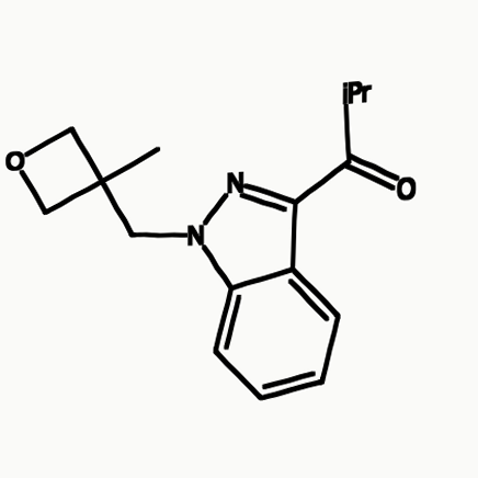 CC(C)C(=O)c1nn(CC2(C)COC2)c2ccccc12